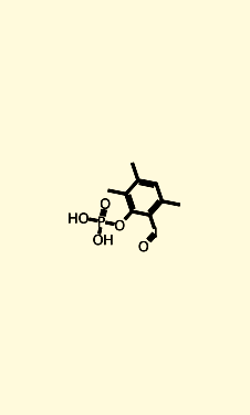 Cc1cc(C)c(I=O)c(OP(=O)(O)O)c1C